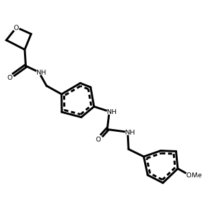 COc1ccc(CNC(=O)Nc2ccc(CNC(=O)C3COC3)cc2)cc1